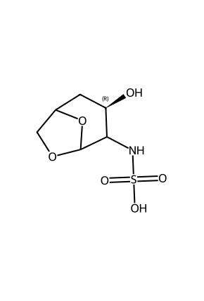 O=S(=O)(O)NC1C2OCC(C[C@H]1O)O2